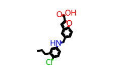 CCCc1cc(NCc2ccc3oc(C(=O)O)cc3c2)ccc1Cl